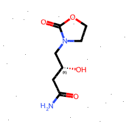 NC(=O)C[C@@H](O)CN1CCOC1=O